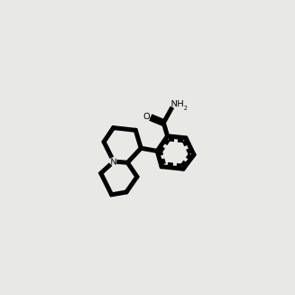 NC(=O)c1ccccc1C1CCCN2CCCCC12